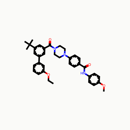 CCOc1cccc(-c2cc(C(=O)N3CCN(c4ccc(C(=O)Nc5ccc(OC)cc5)cc4)CC3)cc(C(C)(C)C)c2)c1